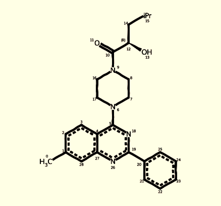 Cc1ccc2c(N3CCN(C(=O)[C@H](O)CC(C)C)CC3)nc(-c3ccccc3)nc2c1